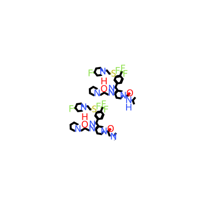 CC(C)NC(=O)N1CCc2c(c(-c3ccc(C(F)(F)F)c(SCCN4CCC(F)CC4)c3)nn2C[C@@H](O)CN2CCCCC2)C1.CN(C)CC(=O)N1CCc2c(c(-c3ccc(C(F)(F)F)c(SCCN4CCC(F)CC4)c3)nn2CC(O)CN2CCCCC2)C1